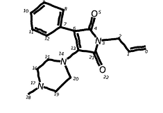 C=CCN1C(=O)C(c2ccccc2)=C(N2CCN(C)CC2)C1=O